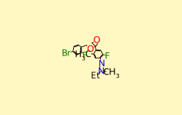 CCN(C)C=Nc1cc(C)c(C2(OCc3ccc(Br)cc3F)COC2)cc1F